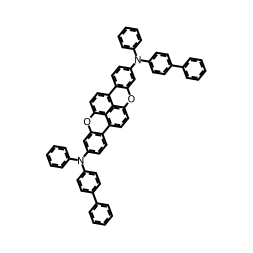 c1ccc(-c2ccc(N(c3ccccc3)c3ccc4c(c3)Oc3ccc5c6c(ccc-4c36)Oc3cc(N(c4ccccc4)c4ccc(-c6ccccc6)cc4)ccc3-5)cc2)cc1